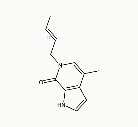 C/C=C/Cn1cc(C)c2cc[nH]c2c1=O